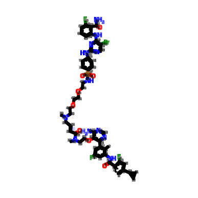 Cc1c(NC(=O)c2ccc(C3CC3)cc2F)cc(F)cc1-c1ncnc(N)c1OCCN(C)C(=O)/C=C/CN(C)CCOCCOCCNS(=O)(=O)c1ccc(Nc2ncc(Br)c(Nc3cccc(F)c3C(N)=O)n2)cc1